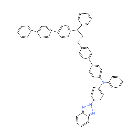 c1ccc(-c2ccc(-c3ccc(C(CCc4ccc(-c5ccc(N(c6ccccc6)c6ccc(-n7nc8ccccc8n7)cc6)cc5)cc4)c4ccccc4)cc3)cc2)cc1